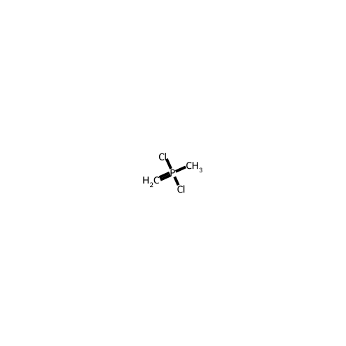 C=P(C)(Cl)Cl